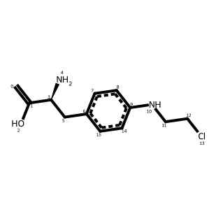 C=C(O)[C@@H](N)Cc1ccc(NCCCl)cc1